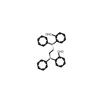 O=Cc1ccccc1[P@](CC[P@](c1ccccc1)c1ccccc1C=O)c1ccccc1